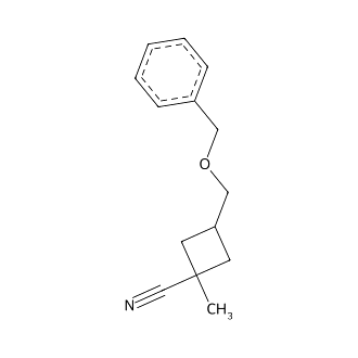 CC1(C#N)CC(COCc2ccccc2)C1